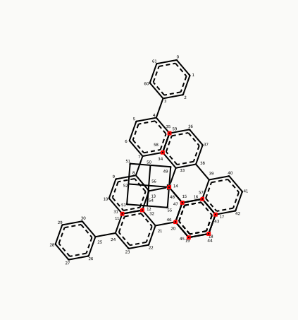 c1ccc(-c2ccc(-c3ccccc3N(c3ccccc3-c3ccc(-c4ccccc4)cc3)c3ccccc3-c3cccc4cccc(C56CC7CC8CC(C5)C876)c34)cc2)cc1